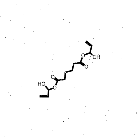 C=CC(O)OC(=O)CCCCC(=O)OC(O)C=C